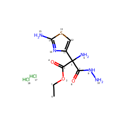 CCOC(=O)C(N)(C(=O)NN)c1csc(N)n1.Cl.Cl